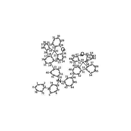 c1ccc(-c2cccc(N(c3ccc(-c4ccc5c(c4)C4(c6ccccc6Oc6ccccc64)c4ccccc4-5)cc3)c3cccc(-c4ccc5c(c4)-c4ccccc4C54c5ccccc5Oc5ccccc54)c3)c2)cc1